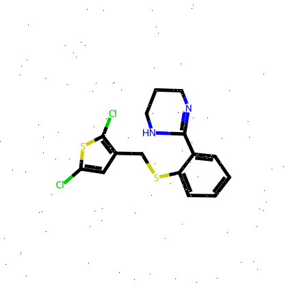 Clc1cc(CSc2ccccc2C2=NCCCN2)c(Cl)s1